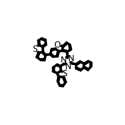 C1=CC2c3ccccc3SC2C(c2nc(-c3ccc4ccccc4c3)nc(-c3cccc4oc5cc(-c6cccc7sc8ccccc8c67)ccc5c34)n2)=C1